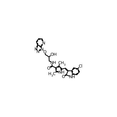 Cc1[nH]c(C=C2C(=O)Nc3ccc(Cl)cc32)c(C)c1C(=O)NCC(O)COn1nnc2cccnc21